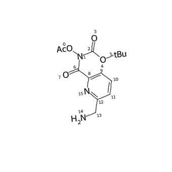 CC(=O)ON(C(=O)OC(C)(C)C)C(=O)c1cccc(CN)n1